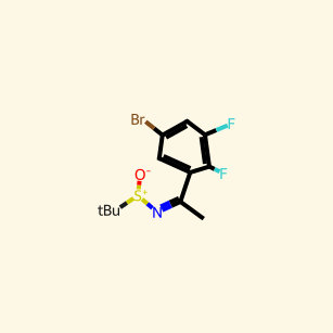 C/C(=N/[S+]([O-])C(C)(C)C)c1cc(Br)cc(F)c1F